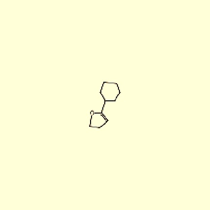 C1=C(C2CCCCC2)OCC1